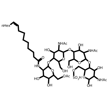 CCCCCC/C=C\CCCCCCCC(=O)NC1C(OC2C(CO)OC(OC3C(CO)OC(OC4C(COS(=O)(=O)O)OC(O)C(NC(C)=O)C4O)C(NC(C)=O)C3O)C(NC(C)=O)C2O)OC(COC(C)=O)C(O)C1O